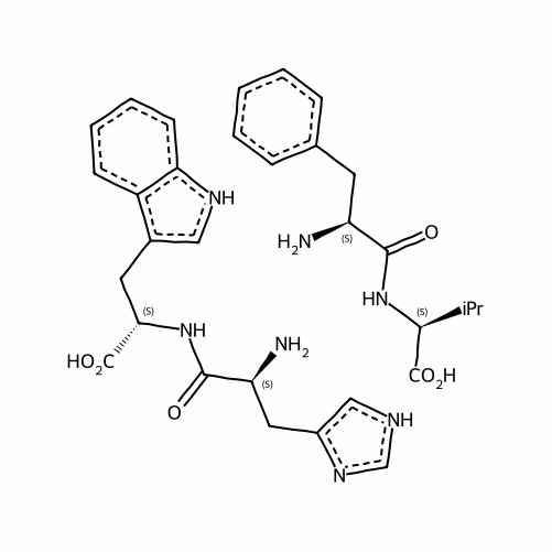 CC(C)[C@H](NC(=O)[C@@H](N)Cc1ccccc1)C(=O)O.N[C@@H](Cc1c[nH]cn1)C(=O)N[C@@H](Cc1c[nH]c2ccccc12)C(=O)O